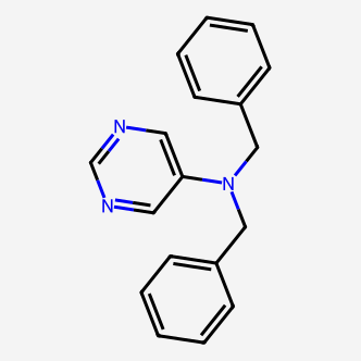 c1ccc(CN(Cc2ccccc2)c2cncnc2)cc1